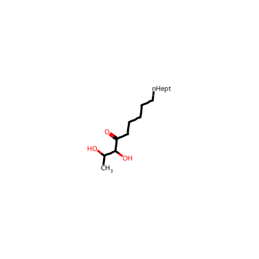 CCCCCCCCCCCCC(=O)C(O)C(C)O